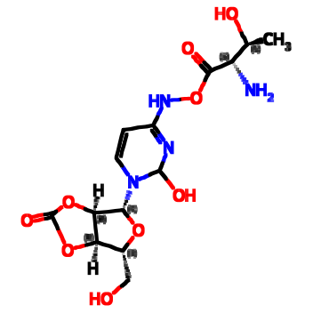 C[C@H](O)[C@H](N)C(=O)ONC1=NC(O)N([C@@H]2O[C@H](CO)[C@H]3OC(=O)O[C@H]32)C=C1